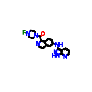 O=C(c1nccc2cc(Nc3n[nH]c4ncccc34)ccc12)N1CCN(F)CC1